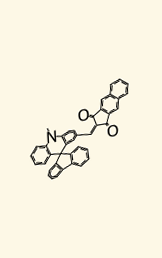 CN1c2ccccc2C2(c3ccccc3-c3ccccc32)c2cc(C=C3C(=O)c4cc5ccccc5cc4C3=O)ccc21